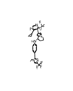 CCn1cc(C(F)(F)F)nc1-c1ccc(NC2CCCn3nc(-c4c(OC(F)F)ncnc4C4CC4)cc32)cc1